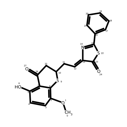 COc1ccc(O)c2c1SC(CC=C1N=C(c3ccccc3)SC1=O)CC2=O